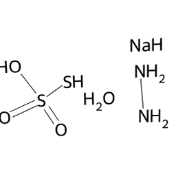 NN.O.O=S(=O)(O)S.[NaH]